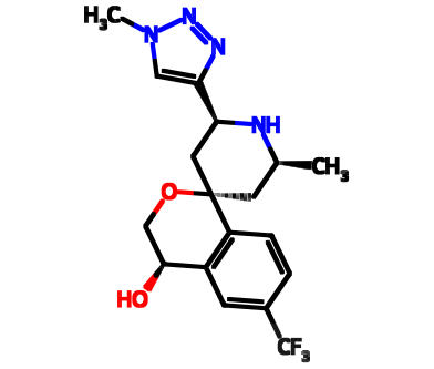 C[C@H]1C[C@@]2(C[C@@H](c3cn(C)nn3)N1)OC[C@H](O)c1cc(C(F)(F)F)ccc12